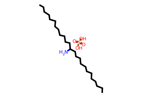 CCCCCCCCCCCCC(N)CCCCCCCCCCCC.O=S(=O)(O)O